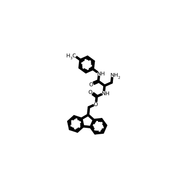 Cc1ccc(NC(=O)C(CN)NC(=O)OCC2c3ccccc3-c3ccccc32)cc1